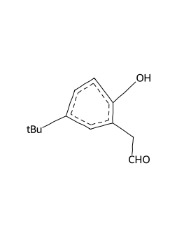 CC(C)(C)c1ccc(O)c(CC=O)c1